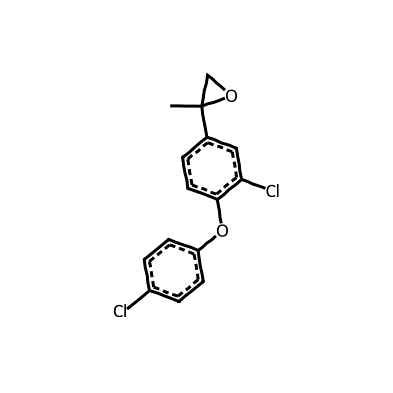 CC1(c2ccc(Oc3ccc(Cl)cc3)c(Cl)c2)CO1